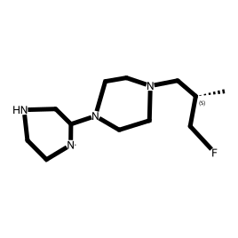 C[C@H](CF)CN1CCN(C2CNCC[N]2)CC1